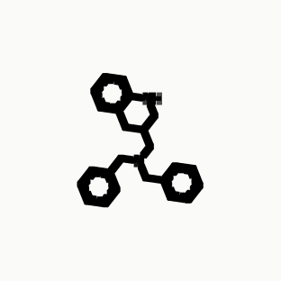 c1ccc(CN(Cc2ccccc2)CC2CNc3ccccc3C2)cc1